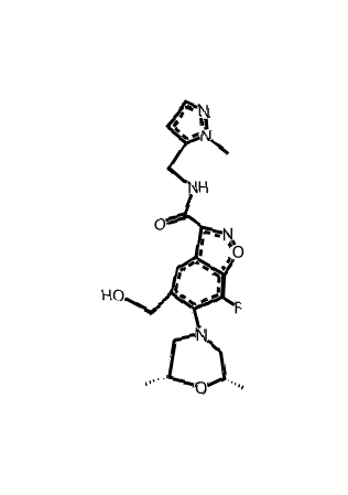 C[C@@H]1CN(c2c(CO)cc3c(C(=O)NCc4ccnn4C)noc3c2F)C[C@H](C)O1